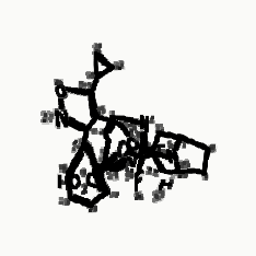 O=C(O)c1ccnc(N2C3CC[C@H]2CC(OCc2c(-c4ccccc4OC(F)F)noc2C2CC2)C3)n1